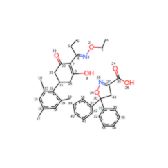 CCO/N=C(\CC)C1=C(O)CC(c2c(C)cc(C)cc2C)CC1=O.O=C(O)C1=NOC(c2ccccc2)(c2ccccc2)C1